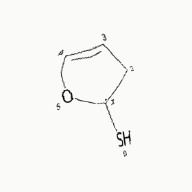 S[C]1CC=CO1